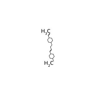 C=CC1CCC(C=CCCC2CCC(C=CC)CC2)CC1